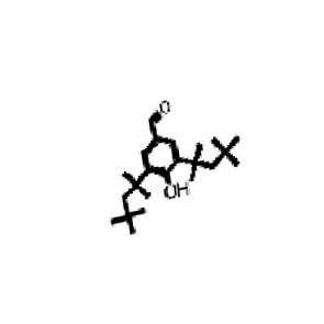 CC(C)(C)CC(C)(C)c1cc(C=O)cc(C(C)(C)CC(C)(C)C)c1O